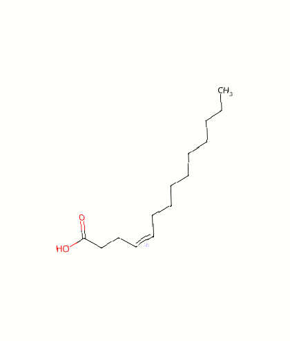 CCCCCCCCC/C=C\CCC(=O)O